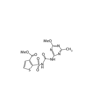 COC(=O)c1ccsc1S(=O)(=O)NC(=O)Nc1nc(C)nc(OC)n1